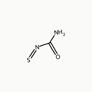 NC(=O)N=S